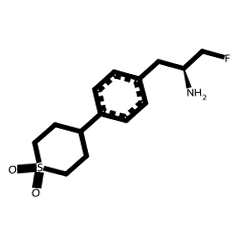 N[C@H](CF)Cc1ccc(C2CCS(=O)(=O)CC2)cc1